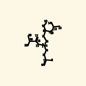 C=C(C)CCN(CCC(CC)SC(C)C)CC(=C)C(C)C